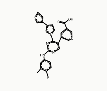 Cc1cc(Nc2ncc(-c3cncc(C(=O)O)c3)c(-n3ccc(-c4ccsc4)n3)n2)ccc1F